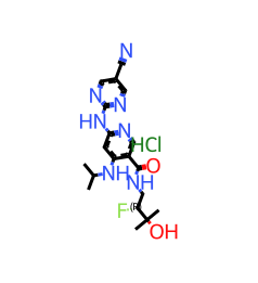 CC(C)Nc1cc(Nc2ncc(C#N)cn2)ncc1C(=O)NC[C@@H](F)C(C)(C)O.Cl